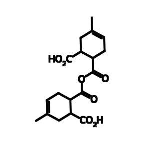 CC1=CCC(C(=O)OC(=O)C2CC=C(C)CC2C(=O)O)C(C(=O)O)C1